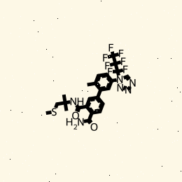 CSCC(C)(C)NC(=O)c1cc(-c2cc([N+]3(C(F)(F)C(F)(F)C(F)(F)F)C=NN=N3)ccc2C)ccc1C(N)=O